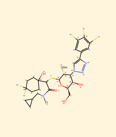 CCN(CC1CC1)C(=O)C(S[C@@H]1O[C@H](CO)[C@H](O)[C@H](n2cc(-c3cc(F)c(F)c(F)c3)nn2)[C@H]1OC)C1(O)CCC(F)(F)CC1